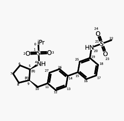 CC(C)S(=O)(=O)N[C@@H]1CCC[C@@H]1Cc1ccc(-c2cccc(NS(C)(=O)=O)c2)cc1